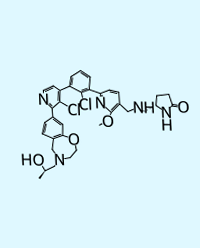 COc1nc(-c2cccc(-c3ccnc(-c4ccc5c(c4)OCCN(C[C@@H](C)O)C5)c3Cl)c2Cl)ccc1CNC[C@@H]1CCC(=O)N1